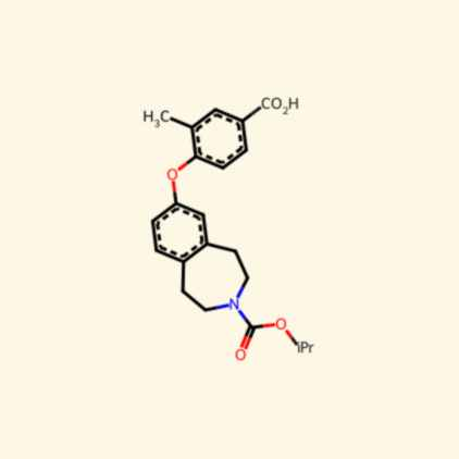 Cc1cc(C(=O)O)ccc1Oc1ccc2c(c1)CCN(C(=O)OC(C)C)CC2